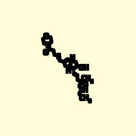 CCCC[C@](C)(O)C/C=C/[C@@H]1[C@H]2CC(CSCCC(=O)N3CCOCC3)=C[C@H]2C[C@H]1O